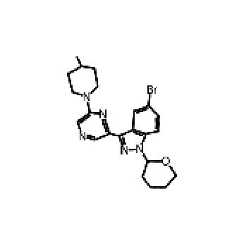 CC1CCN(c2cncc(-c3nn(C4CCCCO4)c4ccc(Br)cc34)n2)CC1